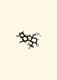 CCC12CCC(=O)C(C(F)(F)F)=C1c1cc(F)c3[nH]ncc3c1C2